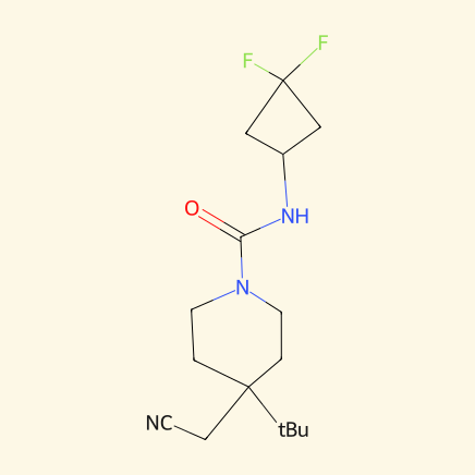 CC(C)(C)C1(CC#N)CCN(C(=O)NC2CC(F)(F)C2)CC1